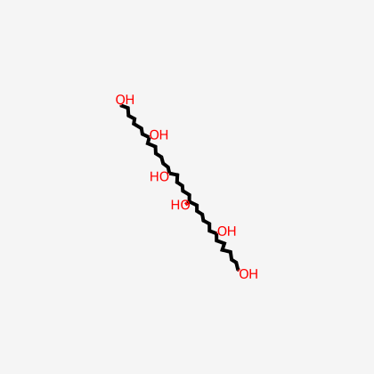 OCCCCCCCC(O)CCCCCCC(O)CCCCCC(O)CCCCCCC(O)CCCCCCCO